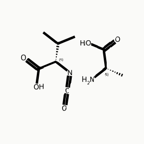 CC(C)[C@H](N=C=O)C(=O)O.C[C@H](N)C(=O)O